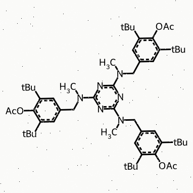 CC(=O)Oc1c(C(C)(C)C)cc(CN(C)c2nc(N(C)Cc3cc(C(C)(C)C)c(OC(C)=O)c(C(C)(C)C)c3)nc(N(C)Cc3cc(C(C)(C)C)c(OC(C)=O)c(C(C)(C)C)c3)n2)cc1C(C)(C)C